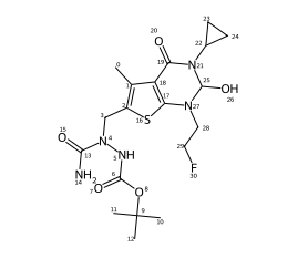 Cc1c(CN(NC(=O)OC(C)(C)C)C(N)=O)sc2c1C(=O)N(C1CC1)C(O)N2CCF